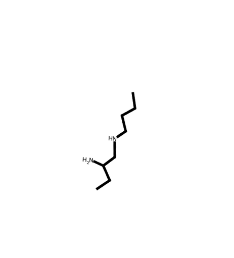 CCCCNCC(N)CC